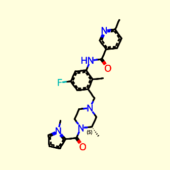 Cc1ccc(C(=O)Nc2cc(F)cc(CN3CCN(C(=O)c4cccn4C)[C@@H](C)C3)c2C)cn1